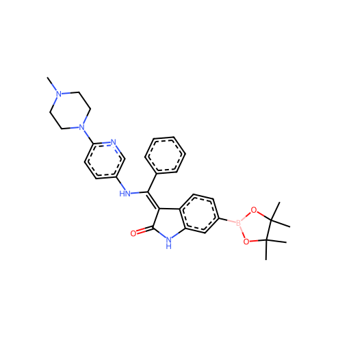 CN1CCN(c2ccc(N/C(=C3\C(=O)Nc4cc(B5OC(C)(C)C(C)(C)O5)ccc43)c3ccccc3)cn2)CC1